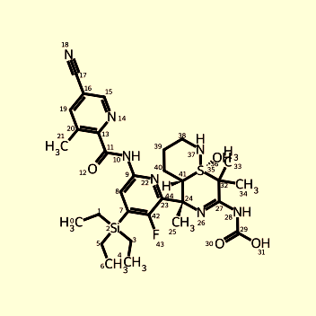 CC[Si](CC)(CC)c1cc(NC(=O)c2ncc(C#N)cc2C)nc([C@@]2(C)N=C(NC(=O)O)C(C)(C)[S@]3(O)NCCC[C@@H]23)c1F